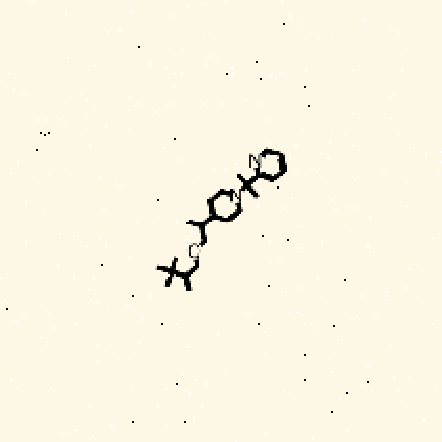 CC(COCC(C)C(C)(C)C)C1CCN(C(C)(C)c2ccccn2)CC1